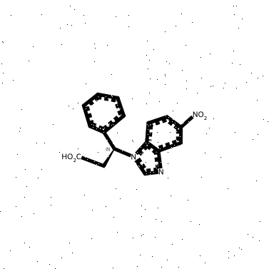 O=C(O)C[C@@H](c1ccccc1)n1cnc2cc([N+](=O)[O-])ccc21